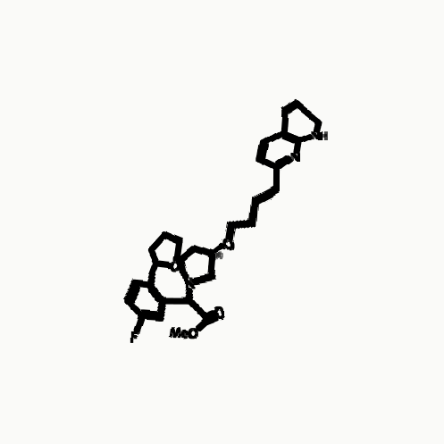 COC(=O)C(c1cc(F)ccc1C1CCCO1)N1CC[C@@H](OCCCCc2ccc3c(n2)NCCC3)C1